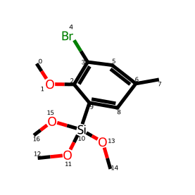 COc1c(Br)cc(C)cc1[Si](OC)(OC)OC